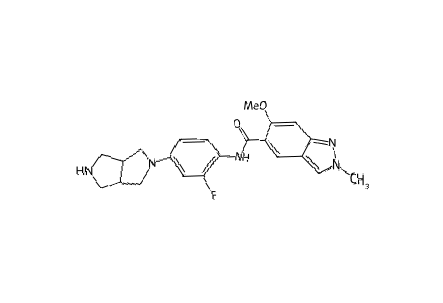 COc1cc2nn(C)cc2cc1C(=O)Nc1ccc(N2CC3CNCC3C2)cc1F